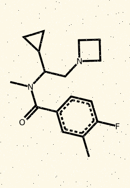 Cc1cc(C(=O)N(C)C(CN2CCC2)C2CC2)ccc1F